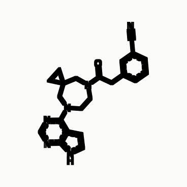 N#Cc1cccc(CC(=O)N2CCN(c3ncnc4[nH]ccc34)CC3(CC3)C2)c1